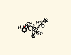 CN(C)[C@]1(c2ccccc2)CC[C@]2(CC1)CN(CCC(=O)NC1COC1)C(O)N2CC1(O)CCC1